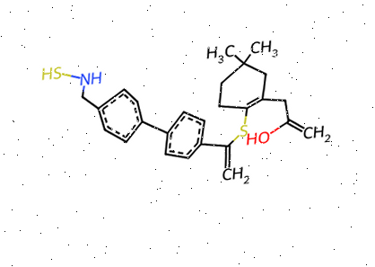 C=C(O)CC1=C(SC(=C)c2ccc(-c3ccc(CNS)cc3)cc2)CCC(C)(C)C1